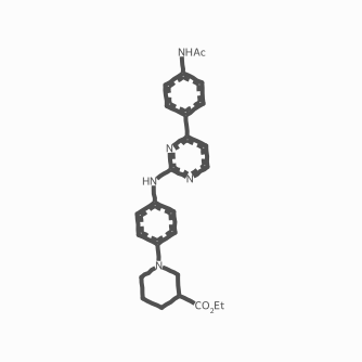 CCOC(=O)C1CCCN(c2ccc(Nc3nccc(-c4ccc(NC(C)=O)cc4)n3)cc2)C1